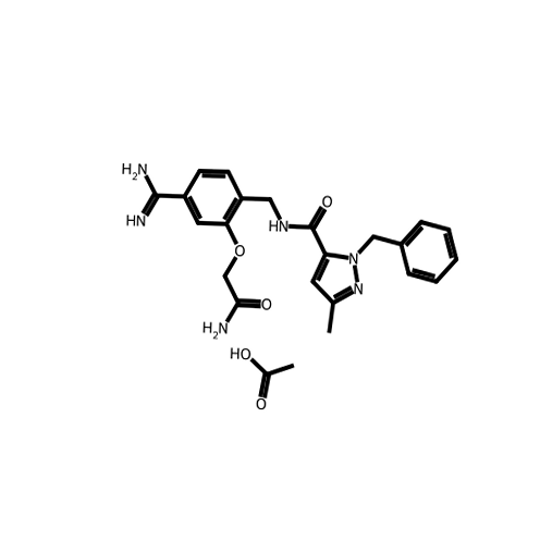 CC(=O)O.Cc1cc(C(=O)NCc2ccc(C(=N)N)cc2OCC(N)=O)n(Cc2ccccc2)n1